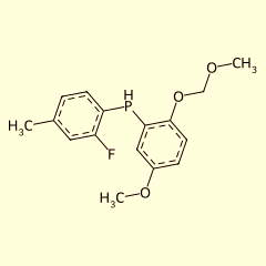 COCOc1ccc(OC)cc1Pc1ccc(C)cc1F